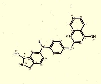 CN(c1ccc(Oc2nc(O)c3ccncc3n2)cc1)c1ccc2c(c1)C(O)NC2